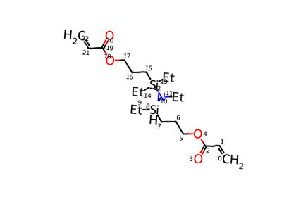 C=CC(=O)OCCC[SiH](CC)N(CC)[Si](CC)(CC)CCCOC(=O)C=C